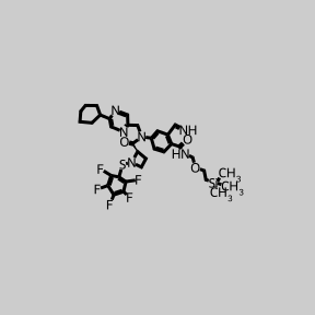 C[Si](C)(C)CCOCNC(=O)c1ccc(N(Cc2cnc(C3CCCCC3)cn2)C(=O)[C@H]2CCN2Sc2c(F)c(F)c(F)c(F)c2F)cc1C=N